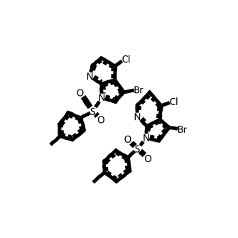 Cc1ccc(S(=O)(=O)n2cc(Br)c3c(Cl)ccnc32)cc1.Cc1ccc(S(=O)(=O)n2cc(Br)c3c(Cl)ccnc32)cc1